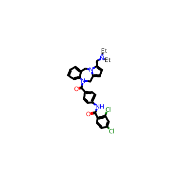 CCN(CC)Cc1ccc2n1Cc1ccccc1N(C(=O)c1ccc(NC(=O)c3ccc(Cl)cc3Cl)cc1)C2